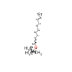 CCC=CCCCCCCCCO[Si](C)(C)C